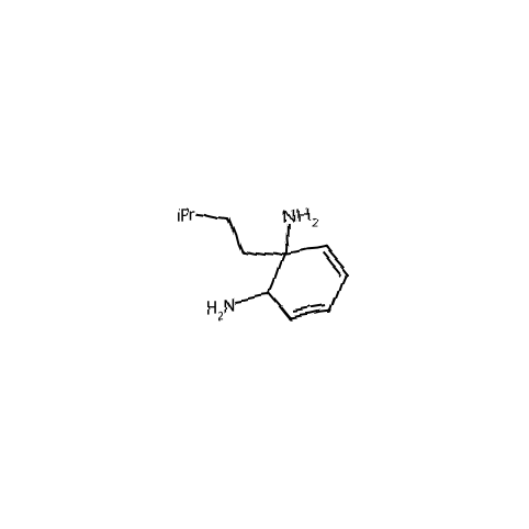 CC(C)CCC1(N)C=CC=CC1N